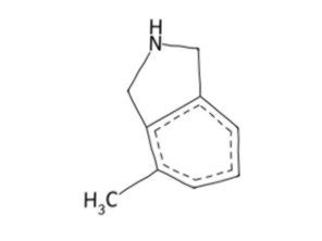 Cc1cccc2c1CNC2